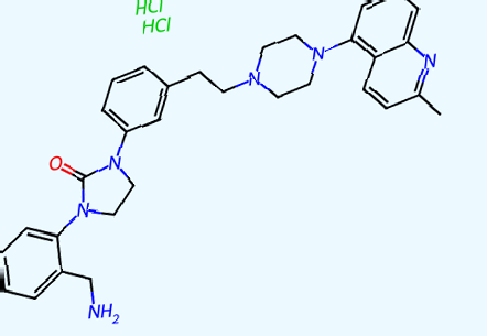 Cc1ccc2c(N3CCN(CCc4cccc(N5CCN(c6ccccc6CN)C5=O)c4)CC3)cccc2n1.Cl.Cl